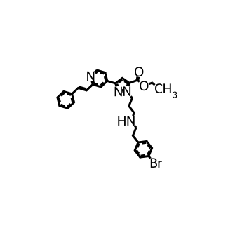 CCOC(=O)c1cc(-c2ccnc(C=Cc3ccccc3)c2)nn1CCCNCCc1ccc(Br)cc1